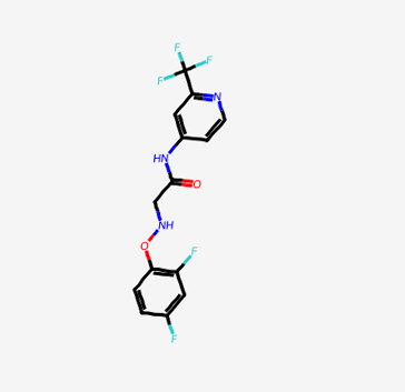 O=C(CNOc1ccc(F)cc1F)Nc1ccnc(C(F)(F)F)c1